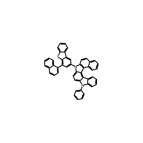 c1ccc(-n2c3ccccc3c3c4c5c6ccccc6ccc5n(-c5cc(-c6cccc7ccccc67)c6sc7ccccc7c6c5)c4ccc32)cc1